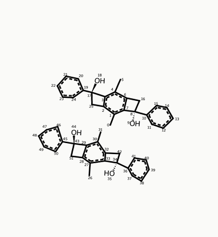 Cc1c2c(c(C)c3c1[C@](O)(c1ccccc1)C3)[C@@](O)(c1ccccc1)C2.Cc1c2c(c(C)c3c1[C@](O)(c1ccccc1)C3)[C@@](O)(c1ccccc1)C2